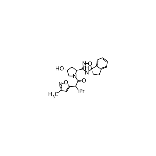 Cc1cc(C(C(=O)N2C[C@H](O)C[C@H]2C2=NO[C@]3(CCc4ccccc43)N2)C(C)C)on1